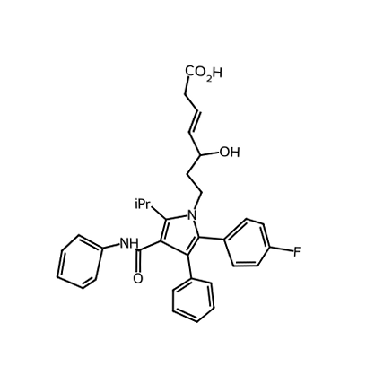 CC(C)c1c(C(=O)Nc2ccccc2)c(-c2ccccc2)c(-c2ccc(F)cc2)n1CCC(O)/C=C/CC(=O)O